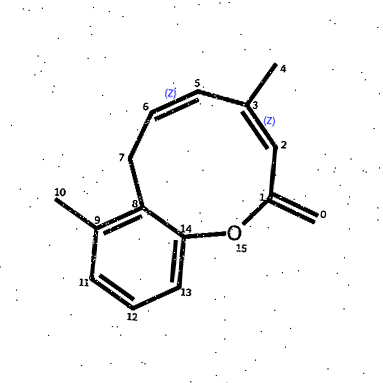 C=C1/C=C(C)\C=C/Cc2c(C)cccc2O1